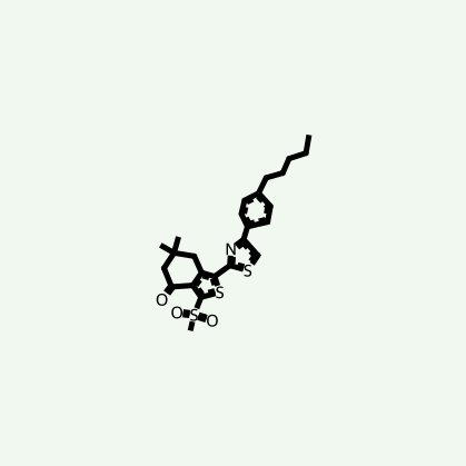 CCCCCc1ccc(-c2csc(-c3sc(S(C)(=O)=O)c4c3CC(C)(C)CC4=O)n2)cc1